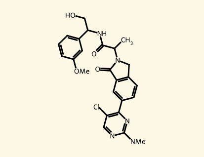 CNc1ncc(Cl)c(-c2ccc3c(c2)C(=O)N(C(C)C(=O)NC(CO)c2cccc(OC)c2)C3)n1